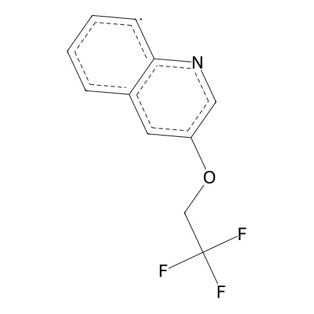 FC(F)(F)COc1cnc2[c]cccc2c1